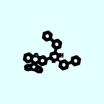 C1=C(c2cccc(-c3ccccc3)c2)N[C@H](c2cccc(-c3ccccc3)c2)N=C1c1ccc2c(c1)Oc1ccccc1C21c2ccccc2-c2ccccc21